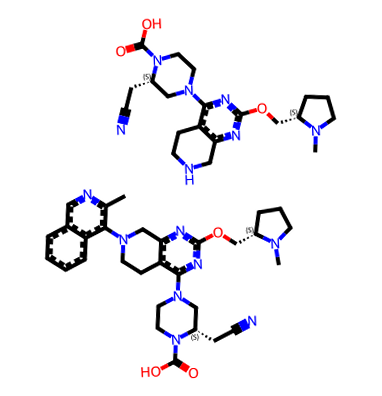 CN1CCC[C@H]1COc1nc2c(c(N3CCN(C(=O)O)[C@@H](CC#N)C3)n1)CCNC2.Cc1ncc2ccccc2c1N1CCc2c(nc(OC[C@@H]3CCCN3C)nc2N2CCN(C(=O)O)[C@@H](CC#N)C2)C1